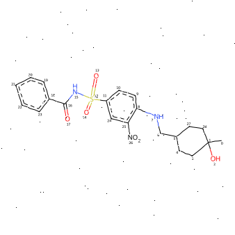 CC1(O)CCC(CNc2ccc(S(=O)(=O)NC(=O)c3ccccc3)cc2[N+](=O)[O-])CC1